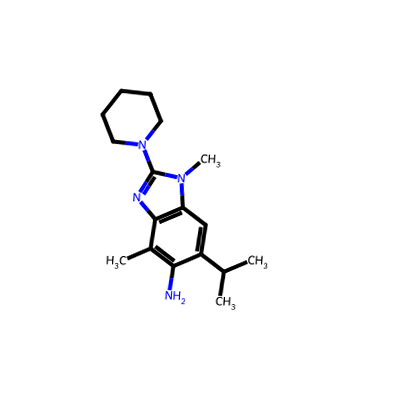 Cc1c(N)c(C(C)C)cc2c1nc(N1CCCCC1)n2C